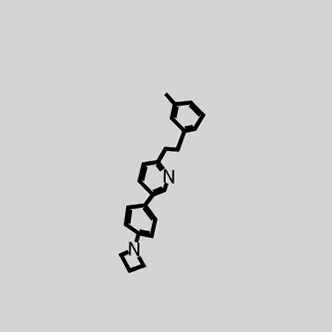 Cc1cccc(CCc2ccc(-c3ccc(N4CCC4)cc3)cn2)c1